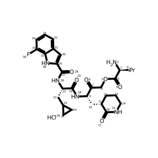 CC(C)[C@H](N)C(=O)OCC(=O)[C@H](C[C@@H]1CCCNC1=O)NC(=O)[C@H](CC1CC1)NC(=O)c1cc2cccc(F)c2[nH]1.Cl